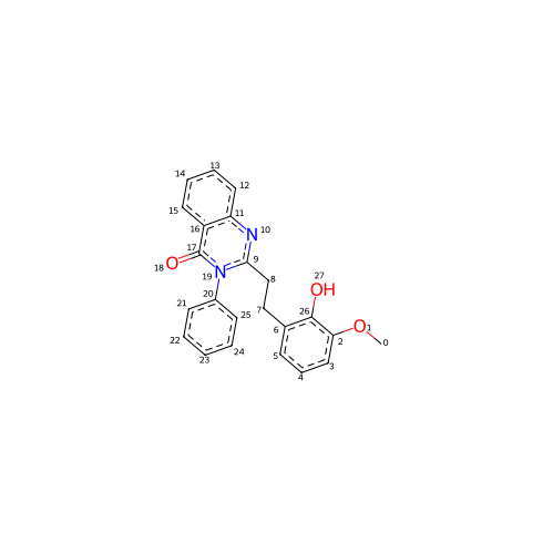 COc1cccc(CCc2nc3ccccc3c(=O)n2-c2ccccc2)c1O